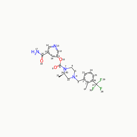 Cc1c(CN2CCN(C(=O)Oc3cncc(C(N)=O)c3)[C@H](C)C2)cccc1C(F)(F)F